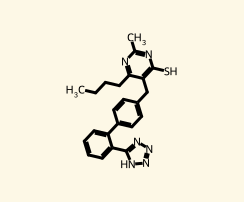 CCCCc1nc(C)nc(S)c1Cc1ccc(-c2ccccc2-c2nnn[nH]2)cc1